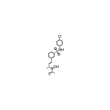 CC(=S)N(O)C(C)C=Cc1cccc(S(=O)(=O)Nc2ccc(Cl)cc2)c1